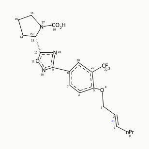 CCC/C=C/COc1ccc(-c2noc([C@@H]3CCCN3C(=O)O)n2)cc1C(F)(F)F